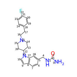 NC(=O)NCc1ccc2ccn(C3CCN(CCc4ccc(F)cc4)CC3)c2c1